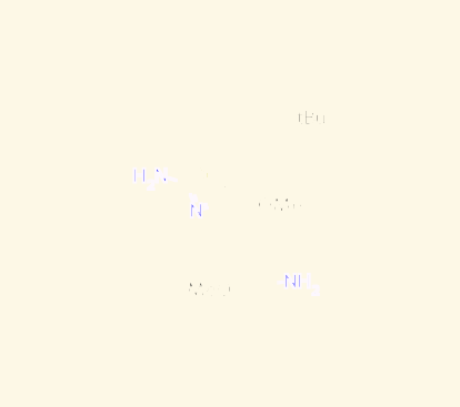 COc1cc(-c2nc(N)sc2CCCCC(C)(C)C)c(OC)cc1CN